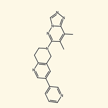 Cc1c(N2CCc3ncc(-c4cccnc4)cc3C2)nn2cnnc2c1C